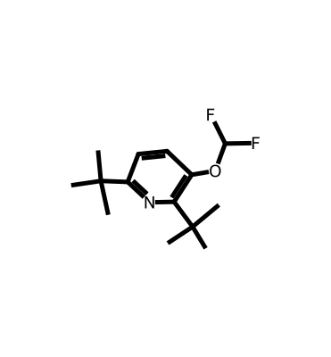 CC(C)(C)c1ccc(OC(F)F)c(C(C)(C)C)n1